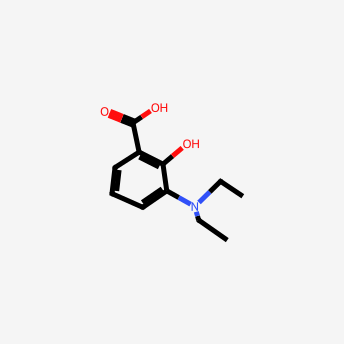 CCN(CC)c1cccc(C(=O)O)c1O